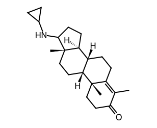 CC1=C2CC[C@@H]3[C@@H](CC[C@]4(C)C(NC5CC5)CC[C@@H]34)[C@@]2(C)CCC1=O